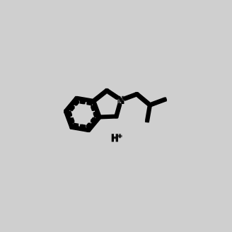 C[C](C)CN1Cc2ccccc2C1.[H+]